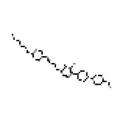 CCCCCCC1CCC(/C=C/CCc2ccc(C3CCC(C4CCC(CC)CC4)CC3)c(F)c2F)CC1